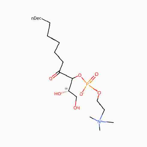 CCCCCCCCCCCCCCCC(=O)C(OP(=O)([O-])OCC[N+](C)(C)C)[C@@H](O)CO